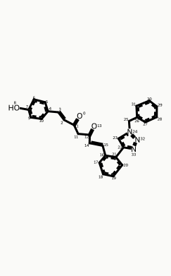 O=C(C=Cc1ccc(O)cc1)CC(=O)C=Cc1ccccc1-c1cn(Cc2ccccc2)nn1